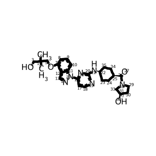 CC(C)(CO)COc1cccc2c1cnn2-c1ccnc(N[C@H]2CC[C@H](C(=O)N3CC[C@@H](O)C3)CC2)n1